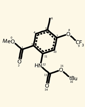 COC(=O)c1cc(C)c(OC(F)(F)F)cc1NC(=O)OC(C)(C)C